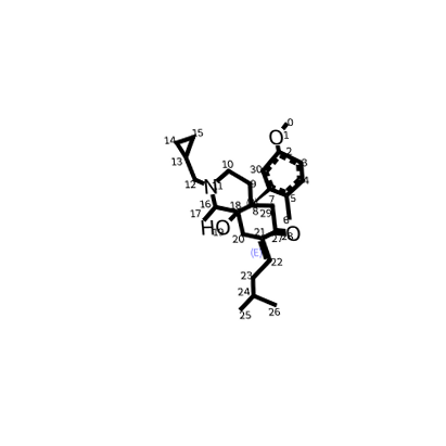 COc1ccc(C)c([C@]23CCN(CC4CC4)C(C)C2(O)C/C(=C\CC(C)C)C(=O)C3)c1